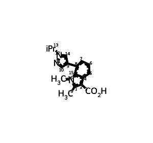 Cc1c(C(=O)O)c2cccc(-c3cnn(C(C)C)c3)c2n1C